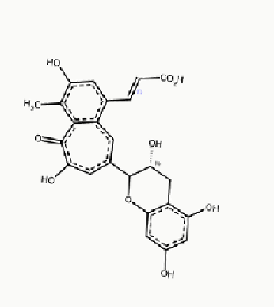 Cc1c(O)cc(/C=C/C(=O)O)c2cc(C3Oc4cc(O)cc(O)c4C[C@H]3O)cc(O)c(=O)c12